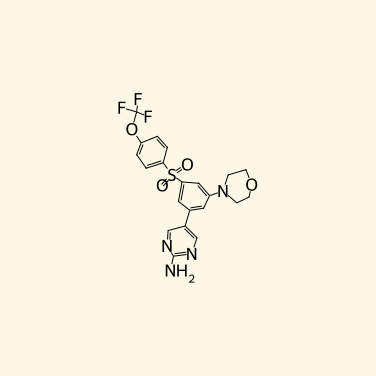 Nc1ncc(-c2cc(N3CCOCC3)cc(S(=O)(=O)c3ccc(OC(F)(F)F)cc3)c2)cn1